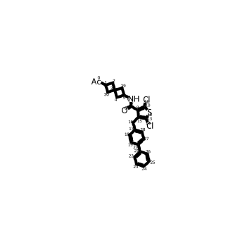 CC(=O)C1CC2(CC(NC(=O)c3c(Cl)sc(Cl)c3Cc3ccc(-c4ccccc4)cc3)C2)C1